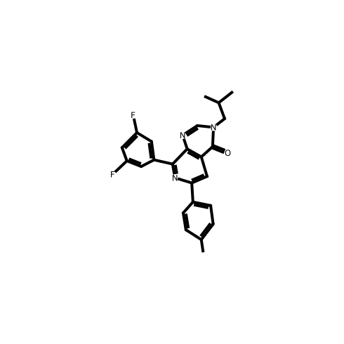 Cc1ccc(-c2cc3c(=O)n(CC(C)C)cnc3c(-c3cc(F)cc(F)c3)n2)cc1